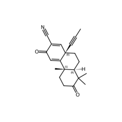 CC#C[C@]12C=C(C#N)C(=O)C=C1[C@@]1(C)CCC(=O)C(C)(C)[C@@H]1CC2